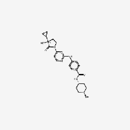 N#C[C@@]1(C2CC2)CCN(c2ccnc(Nc3ccc(C(=O)N[C@H]4CC[C@H](O)CC4)cc3)n2)C1=O